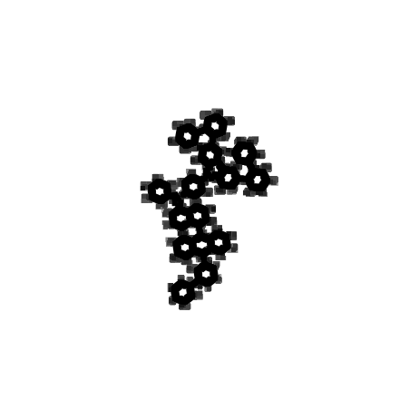 c1ccc(-c2cccc(-c3c4ccccc4c(-c4cccc5c(N(c6ccccc6)c6ccc(-n7c8ccc(-c9ccccc9-c9ccccc9)cc8c8cc(-c9ccccc9-c9ccccc9)ccc87)cc6)cccc45)c4ccccc34)c2)cc1